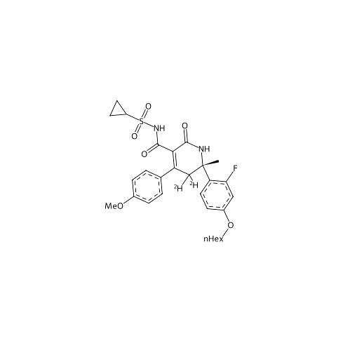 [2H]C1([2H])C(c2ccc(OC)cc2)=C(C(=O)NS(=O)(=O)C2CC2)C(=O)N[C@]1(C)c1ccc(OCCCCCC)cc1F